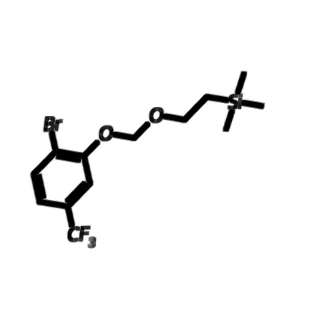 C[Si](C)(C)CCOCOc1cc(C(F)(F)F)ccc1Br